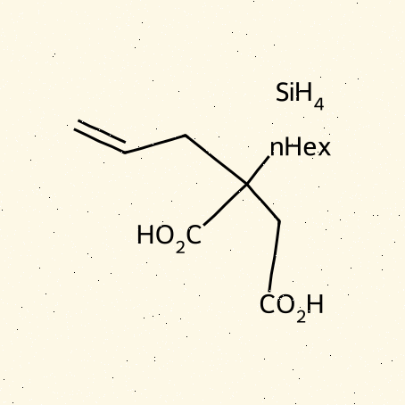 C=CCC(CCCCCC)(CC(=O)O)C(=O)O.[SiH4]